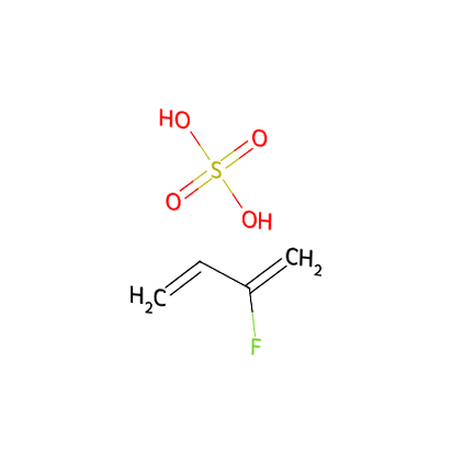 C=CC(=C)F.O=S(=O)(O)O